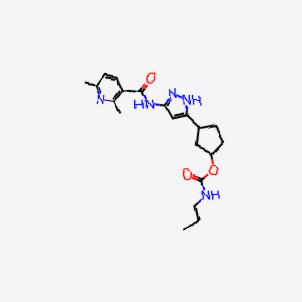 CCCNC(=O)OC1CCC(c2cc(NC(=O)c3ccc(C)nc3C)n[nH]2)C1